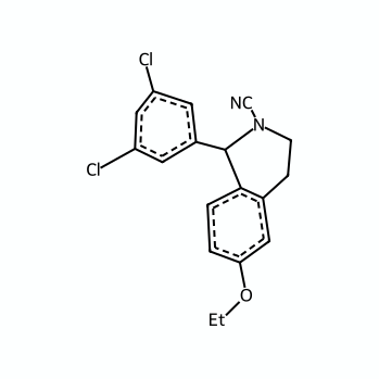 CCOc1ccc2c(c1)CCN(C#N)C2c1cc(Cl)cc(Cl)c1